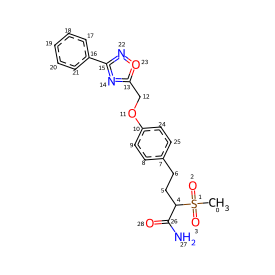 CS(=O)(=O)C(CCc1ccc(OCc2nc(-c3ccccc3)no2)cc1)C(N)=O